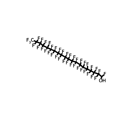 OC(F)C(F)(F)C(F)(F)C(F)(F)C(F)(F)C(F)(F)C(F)(F)C(F)(F)C(F)(F)C(F)(F)C(F)(F)C(F)(F)C(F)(F)C(F)(F)C(F)(F)C(F)(F)C(F)(F)C(F)(F)C(F)(F)C(F)(F)F